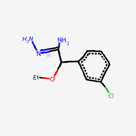 CCOC(/C(N)=N/N)c1cccc(Cl)c1